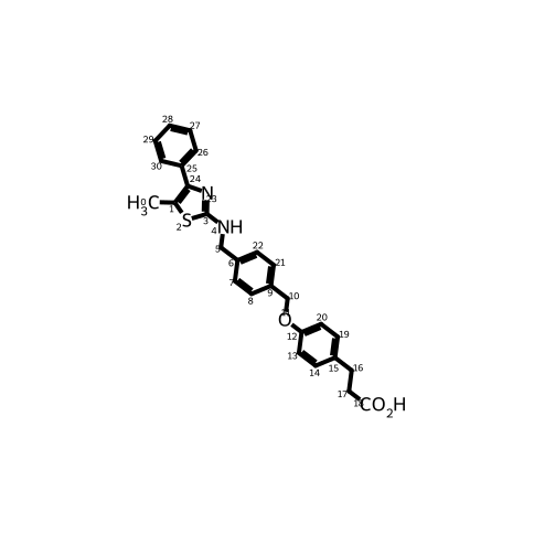 Cc1sc(NCc2ccc(COc3ccc(CCC(=O)O)cc3)cc2)nc1-c1ccccc1